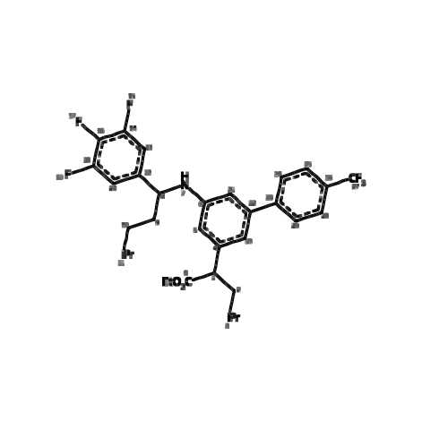 CCOC(=O)C(CC(C)C)c1cc(NC(CCC(C)C)c2cc(F)c(F)c(F)c2)cc(-c2ccc(C(F)(F)F)cc2)c1